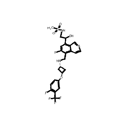 CS(=O)(=O)NCC(O)c1cc(F)c(CN[C@H]2C[C@H](Oc3ccc(F)c(C(F)(F)F)c3)C2)c2ccncc12